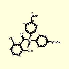 COc1ccc(P(=O)(C(=O)c2c(Cl)cccc2Cl)c2ccc(OC)cc2)cc1